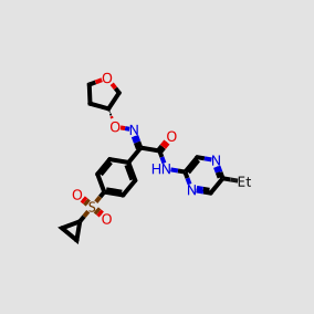 CCc1cnc(NC(=O)/C(=N/O[C@@H]2CCOC2)c2ccc(S(=O)(=O)C3CC3)cc2)cn1